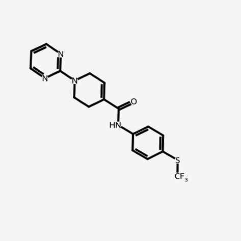 O=C(Nc1ccc(SC(F)(F)F)cc1)C1=CCN(c2ncccn2)CC1